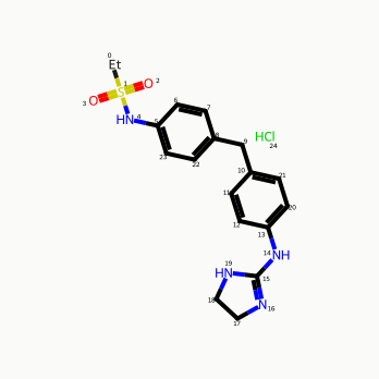 CCS(=O)(=O)Nc1ccc(Cc2ccc(NC3=NCCN3)cc2)cc1.Cl